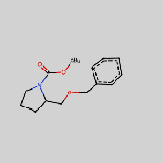 CC(C)(C)OC(=O)N1CCCC1COCc1ccccc1